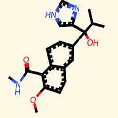 CNC(=O)c1c(OC)ccc2cc(C(O)(c3c[nH]cn3)C(C)C)ccc12